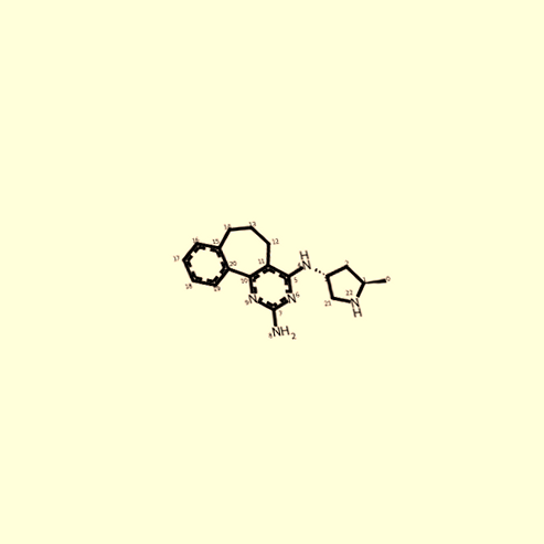 C[C@@H]1C[C@@H](Nc2nc(N)nc3c2CCCc2ccccc2-3)CN1